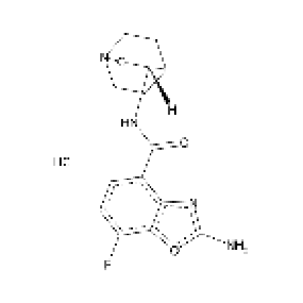 Cl.Nc1nc2c(C(=O)N[C@@H]3CN4CCC3CC4)ccc(F)c2o1